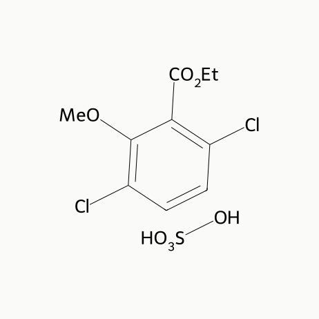 CCOC(=O)c1c(Cl)ccc(Cl)c1OC.O=S(=O)(O)O